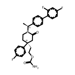 C[C@@H](c1ccc(-c2ccc(F)cc2F)cc1)N1CC[C@](CCOC(N)=O)(c2ccc(F)cc2)CC1=O